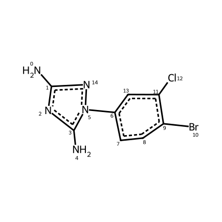 Nc1nc(N)n(-c2ccc(Br)c(Cl)c2)n1